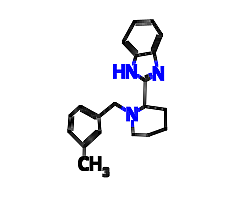 Cc1cccc(CN2CCCCC2c2nc3ccccc3[nH]2)c1